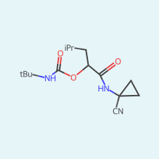 CC(C)CC(OC(=O)NC(C)(C)C)C(=O)NC1(C#N)CC1